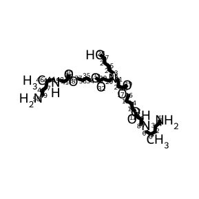 CC(CCCN)CNCCC(=O)OCCCCOC(=O)CCN(CCCCCO)CCC(=O)OCCCCOC(=O)CCNCC(C)CCCN